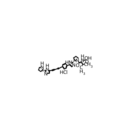 CC(C)[C@H](NC(=O)O)C(=O)N1CCC[C@H]1c1ncc(-c2ccc(C#CC#Cc3cnc([C@@H]4CCCN4)[nH]3)cc2)[nH]1.Cl